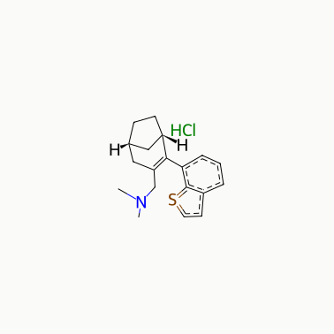 CN(C)CC1=C(c2cccc3ccsc23)[C@H]2CC[C@@H](C1)C2.Cl